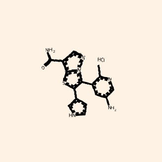 Cc1ncc(N)cc1-c1c(-c2cc[nH]c2)sc2c(C(N)=O)cnn12.Cl